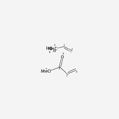 C=CC(=O)O.C=CC(=O)OC.N